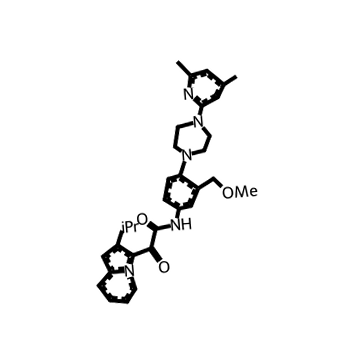 COCc1cc(NC(=O)C(=O)c2c(C(C)C)cc3ccccn23)ccc1N1CCN(c2cc(C)cc(C)n2)CC1